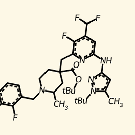 Cc1cc(Nc2cc(C(F)F)c(F)c(CC3(C(=O)OC(C)(C)C)CCN(Cc4cccc(Cl)c4F)C(C)C3)n2)nn1C(C)(C)C